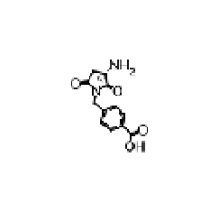 N[C@H]1CC(=O)N(Cc2ccc(C(=O)O)cc2)C1=O